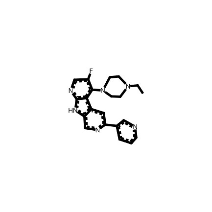 CCN1CCN(c2c(F)cnc3[nH]c4cnc(-c5cccnc5)cc4c23)CC1